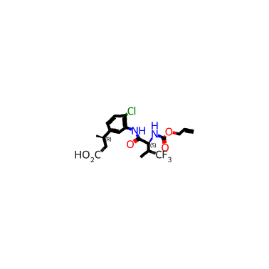 C=CCOC(=O)N[C@H](C(=O)Nc1cc([C@H](C)CC(=O)O)ccc1Cl)C(C)C(F)(F)F